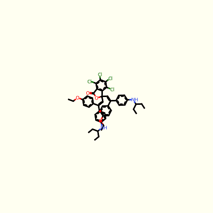 CCOc1ccc(/C(=C\C2(/C=C(/c3ccc(NC(CC)CC)cc3)c3ccc(OCC)cc3)OC(=O)c3c(Cl)c(Cl)c(Cl)c(Cl)c32)c2ccc(NC(CC)CC)cc2)cc1